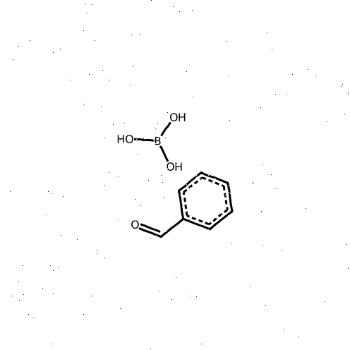 O=Cc1ccccc1.OB(O)O